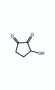 O=C1CCC(O)C1=O